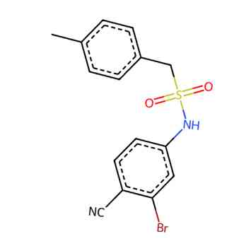 Cc1ccc(CS(=O)(=O)Nc2ccc(C#N)c(Br)c2)cc1